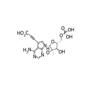 C[C@@]1(O)[C@H](O)[C@@H](COP(=O)(O)O)O[C@H]1n1cc(C#CC(=O)O)c2c(N)ncnc21